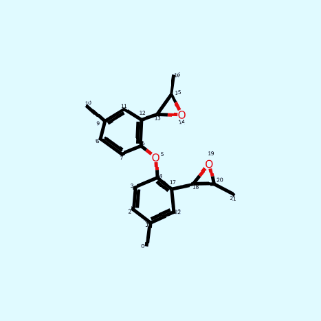 Cc1ccc(Oc2ccc(C)cc2C2OC2C)c(C2OC2C)c1